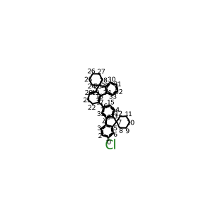 Clc1ccc2c(c1)C1(CCCCC1)c1ccc(C3=C4C(=CCC3)C3(CCCCC3)c3ccccc34)cc1-2